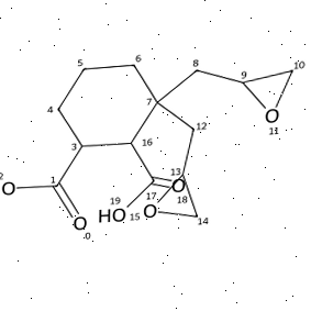 O=C(O)C1CCCC(CC2CO2)(CC2CO2)C1C(=O)O